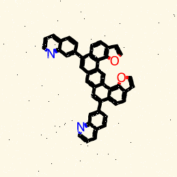 c1cnc2cc(-c3cc4cc5cc(-c6ccc7cccnc7c6)c6ccc7ccoc7c6c5cc4c4c3ccc3ccoc34)ccc2c1